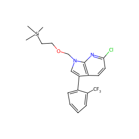 C[Si](C)(C)CCOCn1cc(-c2ccccc2C(F)(F)F)c2ccc(Cl)nc21